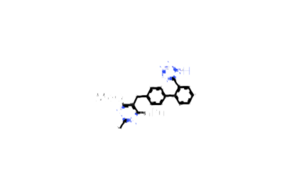 CCCCc1nc(C)nc(OC)c1Cc1ccc(-c2ccccc2-c2nnn[nH]2)cc1